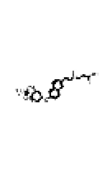 CC(C)(C)[C@H]1CC[C@H](Oc2ccc3cc(CCNCCC(=O)O)ccc3c2)CC1